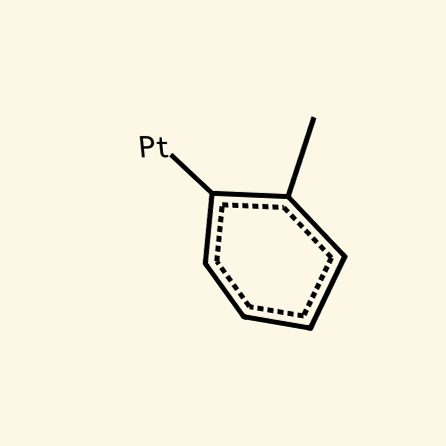 Cc1cccc[c]1[Pt]